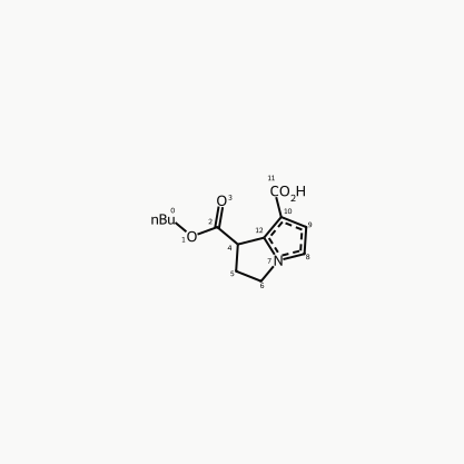 CCCCOC(=O)C1CCn2ccc(C(=O)O)c21